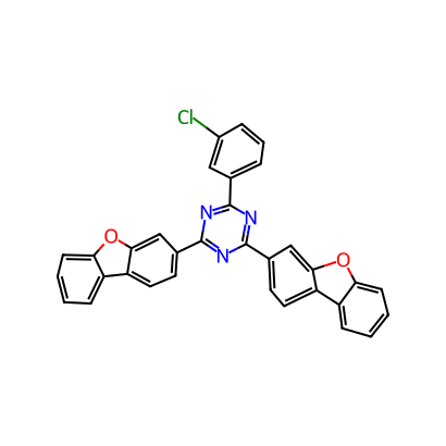 Clc1cccc(-c2nc(-c3ccc4c(c3)oc3ccccc34)nc(-c3ccc4c(c3)oc3ccccc34)n2)c1